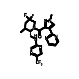 CC1CC(F)(F)CN(C(=O)c2nn(C)cc2-c2ncccn2)[C@@H]1CNc1cnc(C(F)(F)F)cn1